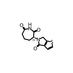 O=C1CCC[C@H](N2Cc3sccc3C2=O)C(=O)N1